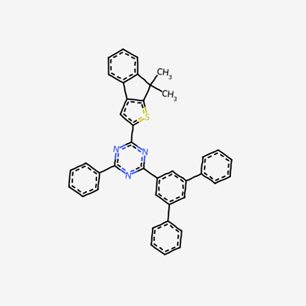 CC1(C)c2ccccc2-c2cc(-c3nc(-c4ccccc4)nc(-c4cc(-c5ccccc5)cc(-c5ccccc5)c4)n3)sc21